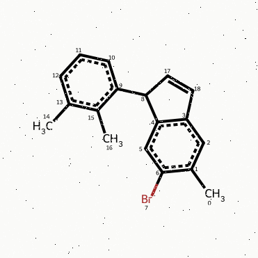 Cc1cc2c(cc1Br)C(c1cccc(C)c1C)C=C2